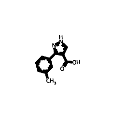 Cc1cccc(-c2n[nH]cc2C(=O)O)c1